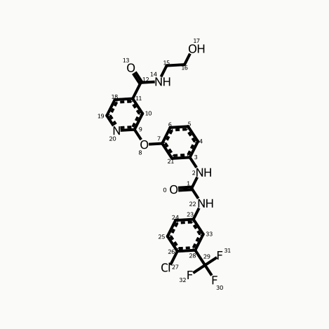 O=C(Nc1cccc(Oc2cc(C(=O)NCCO)ccn2)c1)Nc1ccc(Cl)c(C(F)(F)F)c1